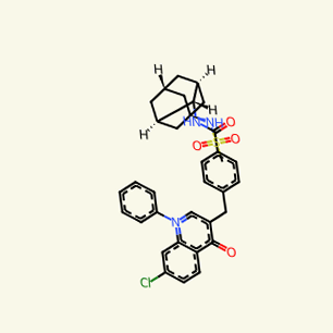 CS(=O)(=O)N[C@]12C[C@@H]3C[C@H](C1)[C@@H](NC(=O)c1ccc(Cc4cn(-c5ccccc5)c5cc(Cl)ccc5c4=O)cc1)[C@@H](C3)C2